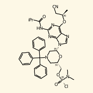 CC(C)C(=O)Nc1nc(O[C@H](C)CC#N)c2ncn([C@H]3CN(C(c4ccccc4)(c4ccccc4)c4ccccc4)C[C@@H](CO[P@@](=O)(Cl)N(C)C)O3)c2n1